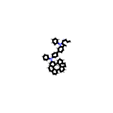 C=C/C=C\c1c(C)c2ccc(-c3ccc(N(c4ccccc4)c4cc5ccc6cccc7c8cccc9ccc%10cccc(c(c4)c5c67)c%10c98)cc3)cc2n1-c1ccccc1